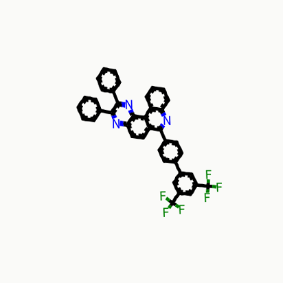 FC(F)(F)c1cc(-c2ccc(-c3nc4ccccc4c4c3ccc3nc(-c5ccccc5)c(-c5ccccc5)nc34)cc2)cc(C(F)(F)F)c1